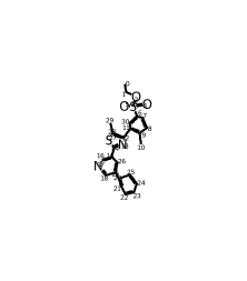 CCOS(=O)(=O)c1ccc(C)c(-c2nc(-c3cncc(-c4ccccc4)c3)sc2C)c1